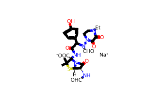 CCN1CCN(N(C=O)C(C(=O)N[C@@]2(C(=O)[O-])N3C(=O)[C@H](NC=O)[C@H]3SC2(C)C)c2ccc(O)cc2)C(=O)C1=O.[Na+]